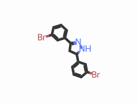 Brc1cccc(C2=NNC(c3cccc(Br)c3)C2)c1